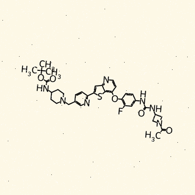 CC(=O)N1CC(NC(=O)Nc2ccc(Oc3ccnc4cc(-c5ccc(CN6CCC(NC(=O)OC(C)(C)C)CC6)cn5)sc34)c(F)c2)C1